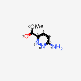 COC(=O)c1ccc(N)nn1